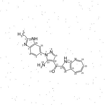 Cc1nc2ccc(-n3ncc(C(=O)c4cc5c([nH]4)C=CC=C=C5)c3N)cc2[nH]1